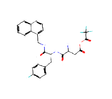 NC(CC(=O)OC(=O)C(F)(F)F)C(=O)N[C@@H](Cc1ccc(F)cc1)C(=O)NCc1cccc2ccccc12